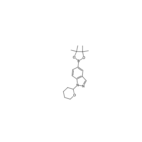 CC1(C)OB(c2ccc3c(cnn3C3CCCCO3)c2)OC1(C)C